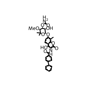 CO[C@@H]1[C@@H](OC(N)=O)[C@@H](O)[C@H](Oc2ccc3c(O)c(NC(=O)c4ccc(-c5ccccc5)cc4)c(=O)oc3c2C)OC1(C)C